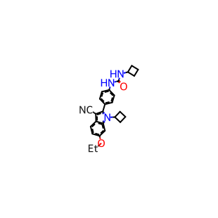 CCOc1ccc2c(C#N)c(-c3ccc(NC(=O)NC4CCC4)cc3)n(C3CCC3)c2c1